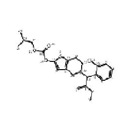 C=C(CC)C(c1ccccc1Cl)N1CCc2sc(OC(=O)OCC(C)C)cc2C1